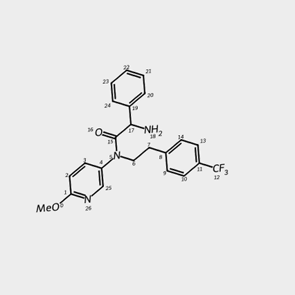 COc1ccc(N(CCc2ccc(C(F)(F)F)cc2)C(=O)C(N)c2ccccc2)cn1